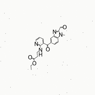 CCOC(=O)CCNc1ncccc1C(=O)c1ccc2c(c1)nc(C=O)n2C